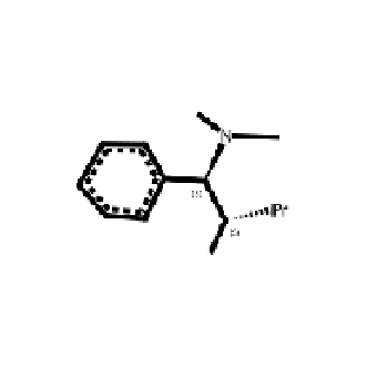 CC(C)[C@H](C)[C@@H](c1ccccc1)N(C)C